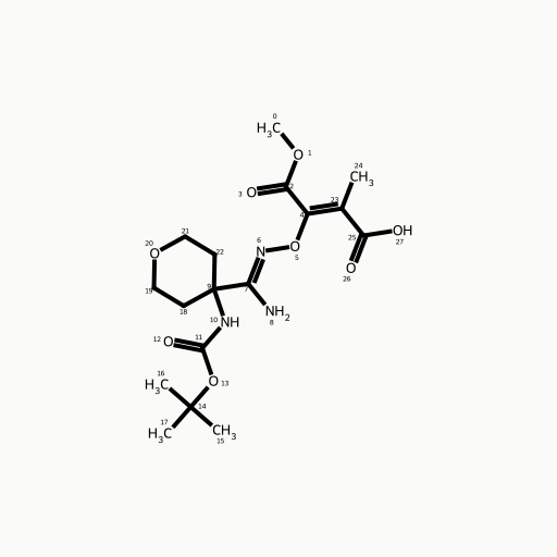 COC(=O)C(ON=C(N)C1(NC(=O)OC(C)(C)C)CCOCC1)=C(C)C(=O)O